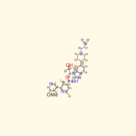 COc1ccncc1-c1nc(C)cc(C(=O)Nc2nc3ccc(C4CCN(CCN(C)C)CC4)cc3n2CC(C)(C)O)c1F